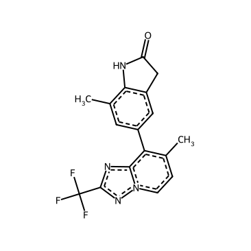 Cc1cc(-c2c(C)ccn3nc(C(F)(F)F)nc23)cc2c1NC(=O)C2